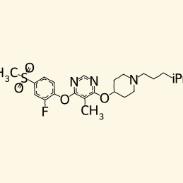 Cc1c(Oc2ccc(S(C)(=O)=O)cc2F)ncnc1OC1CCN(CCCC(C)C)CC1